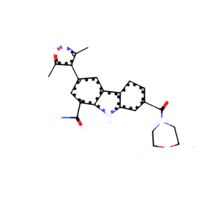 Cc1noc(C)c1-c1cc(C(N)=O)c2[nH]c3cc(C(=O)N4C[C@@H](C)O[C@@H](C)C4)ccc3c2c1